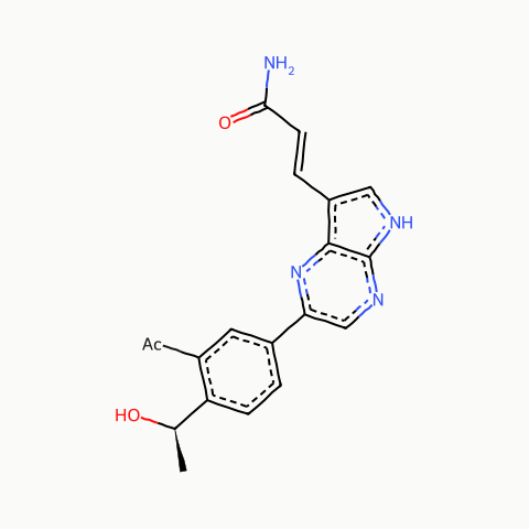 CC(=O)c1cc(-c2cnc3[nH]cc(C=CC(N)=O)c3n2)ccc1[C@@H](C)O